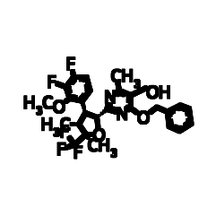 COc1c([C@H]2[C@H](c3nc(C)c(CO)c(OCc4ccccc4)n3)O[C@@](C)(C(F)(F)F)[C@H]2C)ccc(F)c1F